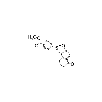 COC(=O)c1ccc(SCc2c(O)ccc3c2CCCC3=O)cc1